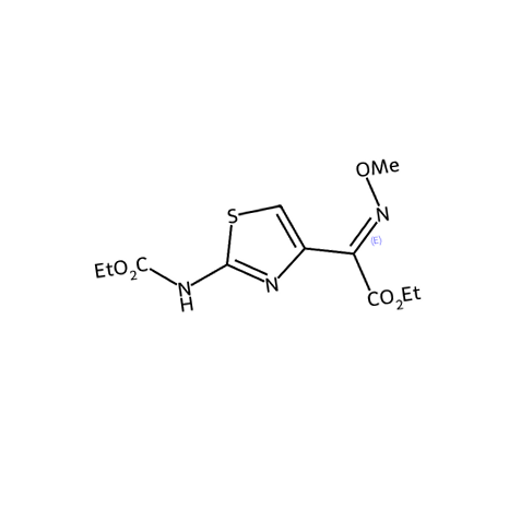 CCOC(=O)Nc1nc(/C(=N\OC)C(=O)OCC)cs1